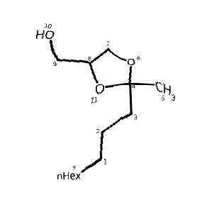 CCCCCCCCCC1(C)OCC(CO)O1